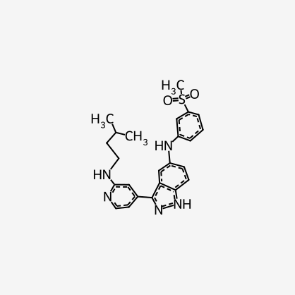 CC(C)CCNc1cc(-c2n[nH]c3ccc(Nc4cccc(S(C)(=O)=O)c4)cc23)ccn1